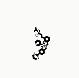 CC(C)OC(=O)CCc1cccc(CN(Cc2ccc(-c3ncccn3)cc2)S(=O)(=O)c2cccnc2)c1